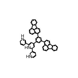 C1=CNCC(C2C=C(c3cc(-c4ccc5c6c(cccc46)-c4ccccc4-5)cc(-c4ccc5c6c(cccc46)-c4ccccc4-5)c3)C=C(C3=CNCC=C3)N2)=C1